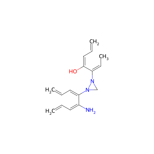 C=C/C=C(N)\C(=C/C=C)N1CN1C(=C/C)/C(O)=C\C=C